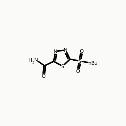 CCCCS(=O)(=O)c1nnc(C(N)=O)s1